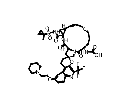 CC1(S(=O)(=O)NC(=O)[C@@]23C[C@H]2/C=C\CCCCC[C@H](NC(=O)O)C(=O)N2C[C@@]4(CCc5c(c(C(F)(F)F)nc6ccc(OCCN7CCCCC7)cc56)O4)C[C@H]2C(=O)N3)CC1